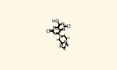 Oc1nc(Cl)nc2c(N3CCn4ncnc4C3)nc(Cl)nc12